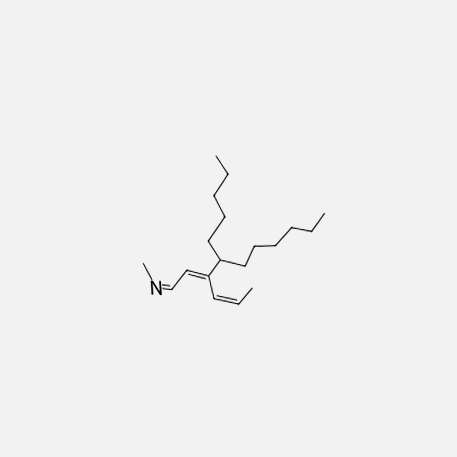 C\C=C/C(=C\C=N/C)C(CCCCC)CCCCCC